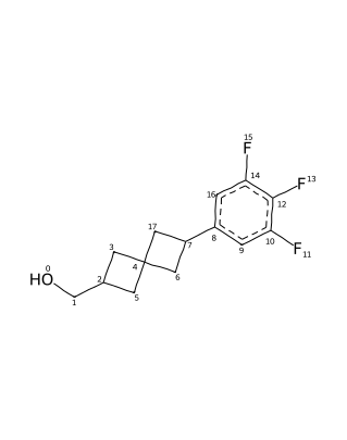 OCC1CC2(C1)CC(c1cc(F)c(F)c(F)c1)C2